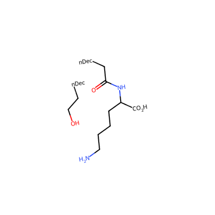 CCCCCCCCCCCC(=O)NC(CCCCN)C(=O)O.CCCCCCCCCCCCO